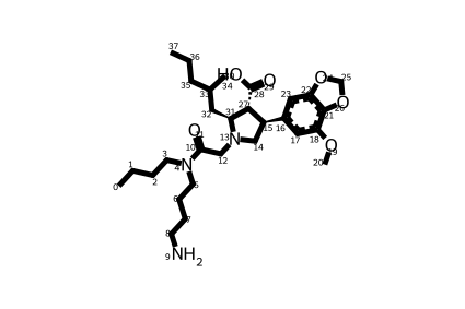 CCCCN(CCCCN)C(=O)CN1C[C@H](c2cc(OC)c3c(c2)OCO3)[C@@H](C(=O)O)[C@@H]1CC(C)CCC